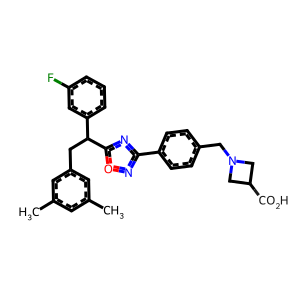 Cc1cc(C)cc(CC(c2cccc(F)c2)c2nc(-c3ccc(CN4CC(C(=O)O)C4)cc3)no2)c1